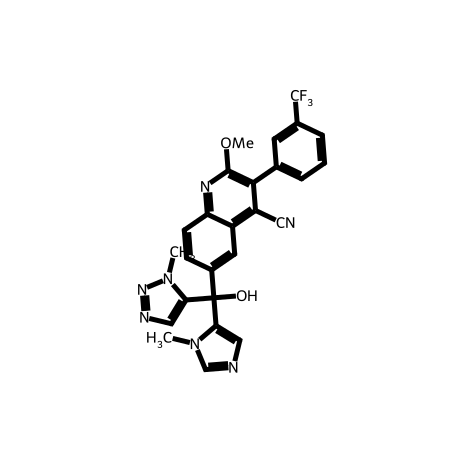 COc1nc2ccc(C(O)(c3cncn3C)c3cnnn3C)cc2c(C#N)c1-c1cccc(C(F)(F)F)c1